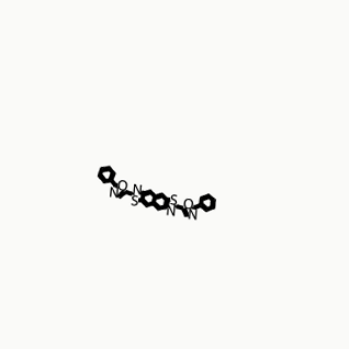 c1ccc(-c2ncc(-c3nc4cc5cc6sc(-c7cnc(-c8ccccc8)o7)nc6cc5cc4s3)o2)cc1